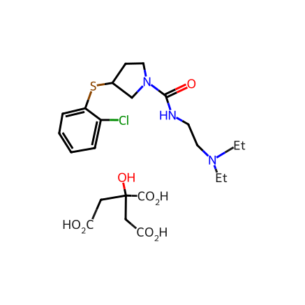 CCN(CC)CCNC(=O)N1CCC(Sc2ccccc2Cl)C1.O=C(O)CC(O)(CC(=O)O)C(=O)O